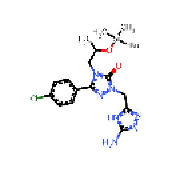 CC(C)(C)[Si](C)(C)OC(Cn1c(-c2ccc(Cl)cc2)nn(Cc2nnc(N)[nH]2)c1=O)C(F)(F)F